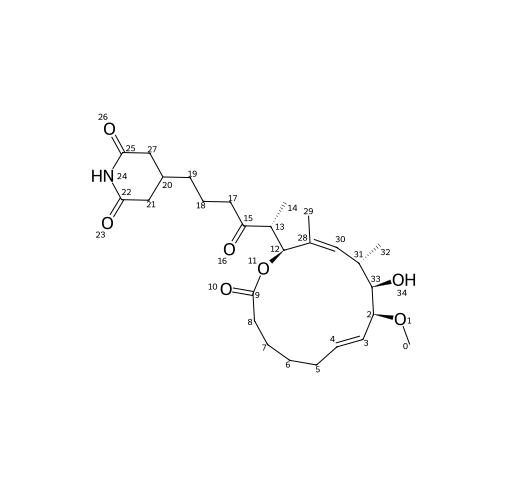 CO[C@H]1/C=C/CCCCC(=O)O[C@@H]([C@@H](C)C(=O)CCCC2CC(=O)NC(=O)C2)/C(C)=C\[C@H](C)[C@H]1O